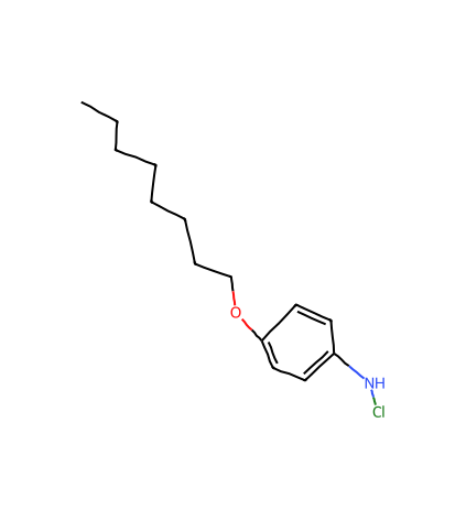 CCCCCCCCOc1ccc(NCl)cc1